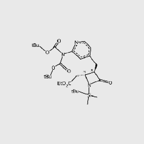 CCOC(=O)C[C@@H]1[C@@H](Cc2ccnc(N(C(=O)OC(C)(C)C)C(=O)OC(C)(C)C)c2)C(=O)N1[Si](C)(C)C(C)(C)C